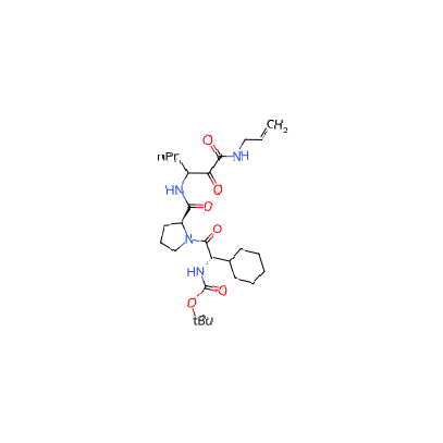 C=CCNC(=O)C(=O)C(CCC)NC(=O)[C@@H]1CCCN1C(=O)[C@@H](NC(=O)OC(C)(C)C)C1CCCCC1